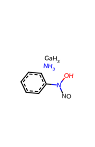 N.O=NN(O)c1ccccc1.[GaH3]